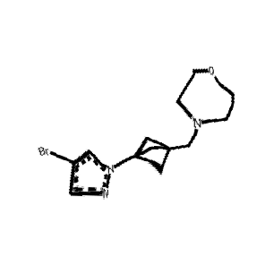 Brc1cnn(C23CC(CN4CCOCC4)(C2)C3)c1